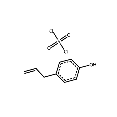 C=CCc1ccc(O)cc1.O=S(=O)(Cl)Cl